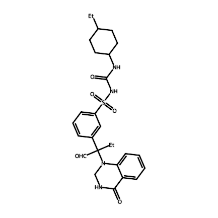 CCC1CCC(NC(=O)NS(=O)(=O)c2cccc(C(C=O)(CC)N3CNC(=O)c4ccccc43)c2)CC1